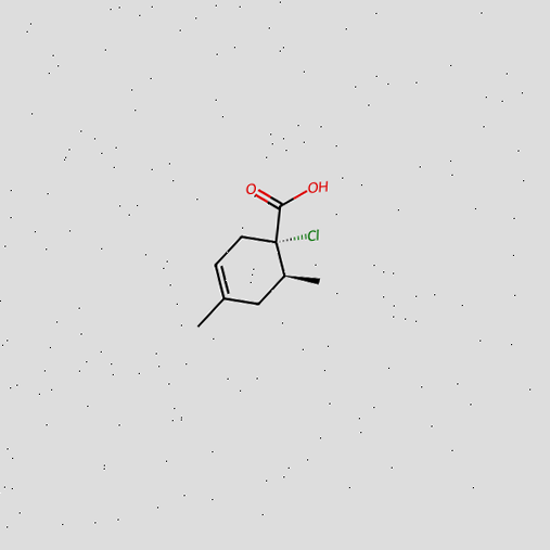 CC1=CC[C@@](Cl)(C(=O)O)[C@@H](C)C1